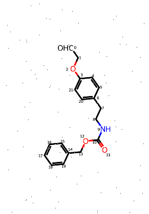 O=CCOc1ccc(CCNC(=O)OCc2ccccc2)cc1